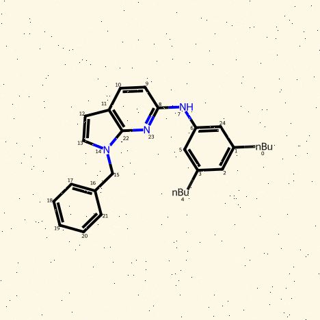 CCCCc1cc(CCCC)cc(Nc2ccc3ccn(Cc4ccccc4)c3n2)c1